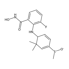 C[S+]([O-])C1=CC(C)(C)C(Nc2c(F)cccc2C(=O)NO)C=C1